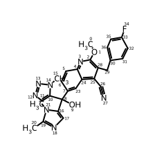 COc1nc2ccc(C(O)(c3cnnn3C)c3cnc(C)n3C)cc2c(C#N)c1Cc1ccc(F)cc1